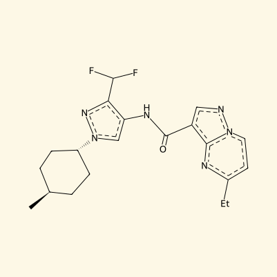 CCc1ccn2ncc(C(=O)Nc3cn([C@H]4CC[C@H](C)CC4)nc3C(F)F)c2n1